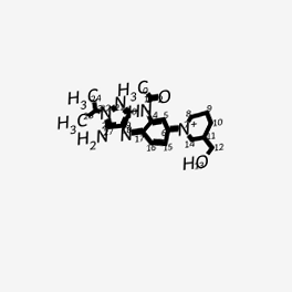 CC(=O)NC1=CC(=[N+]2\CCCC(CO)C2)/C=CC/1=N/c1cnn(C(C)C)c1N